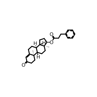 C[C@]12CC[C@H]3[C@@H](CCC4=CC(=O)CC[C@@]43C)[C@@H]1CC[C@H]2OC(=O)CCc1ccccc1